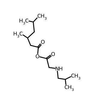 CC(C)CNCC(=O)OC(=O)CC(C)CC(C)C